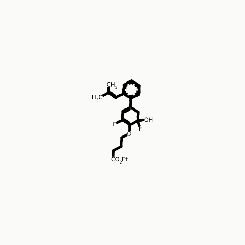 CCOC(=O)CCCOC1=C(F)C=C(c2ccccc2C=C(C)C)CC1(O)F